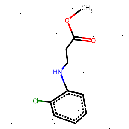 COC(=O)CCNc1ccccc1Cl